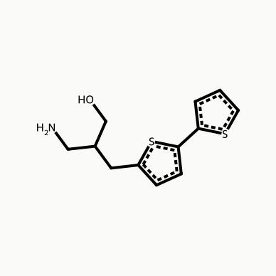 NCC(CO)Cc1ccc(-c2cccs2)s1